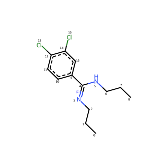 CCC/N=C(\NCCC)c1ccc(Cl)c(Cl)c1